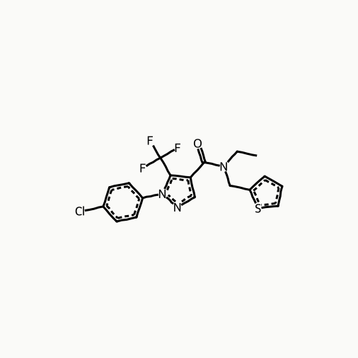 CCN(Cc1cccs1)C(=O)c1cnn(-c2ccc(Cl)cc2)c1C(F)(F)F